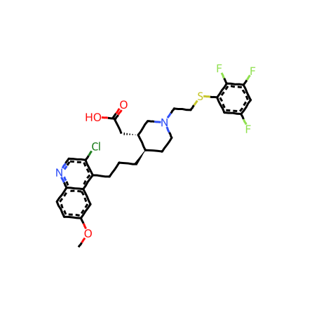 COc1ccc2ncc(Cl)c(CCC[C@@H]3CCN(CCSc4cc(F)cc(F)c4F)C[C@H]3CC(=O)O)c2c1